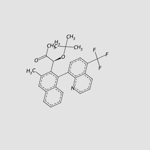 CC(=O)[C@@H](OC(C)(C)C)c1c(C)cc2ccccc2c1-c1ccc(C(F)(F)F)c2cccnc12